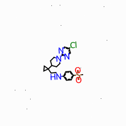 CS(=O)(=O)c1ccc(NCCC2(C3CCN(c4ncc(Cl)cn4)CC3)CC2)cc1